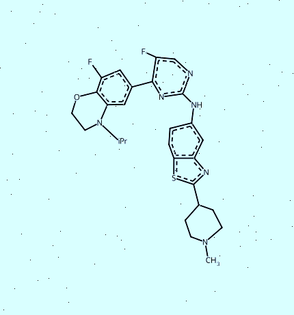 CC(C)N1CCOc2c(F)cc(-c3nc(Nc4ccc5sc(C6CCN(C)CC6)nc5c4)ncc3F)cc21